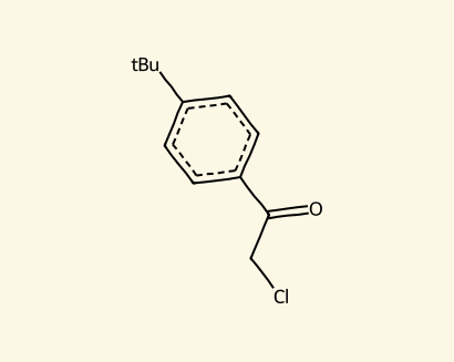 CC(C)(C)c1ccc(C(=O)CCl)cc1